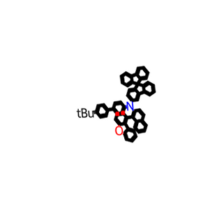 CC(C)(C)c1ccc(-c2ccc(N(c3ccc4c(c3)-c3ccccc3C43c4ccccc4-c4ccccc43)c3ccc4ccccc4c3-c3cccc4oc5ccccc5c34)cc2)cc1